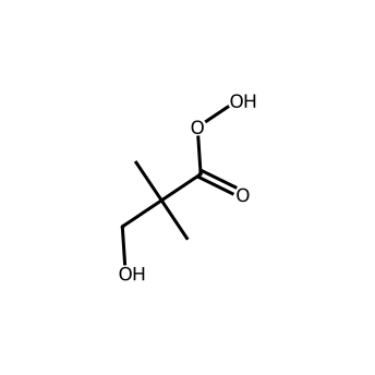 CC(C)(CO)C(=O)OO